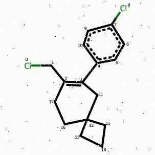 ClCC1=C(c2ccc(Cl)cc2)CC2(CCC2)CC1